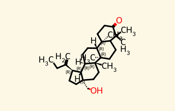 C=C(CC)[C@@H]1CC[C@]2(CO)CC[C@]3(C)[C@H](CC[C@@H]4[C@@]5(C)CCC(=O)C(C)(C)C5CC[C@]43C)[C@@H]12